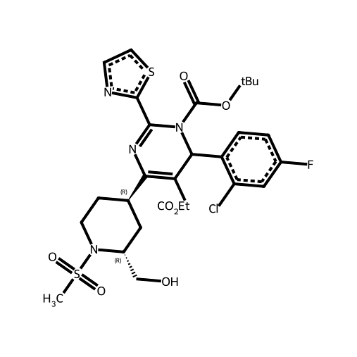 CCOC(=O)C1=C([C@@H]2CCN(S(C)(=O)=O)[C@@H](CO)C2)N=C(c2nccs2)N(C(=O)OC(C)(C)C)C1c1ccc(F)cc1Cl